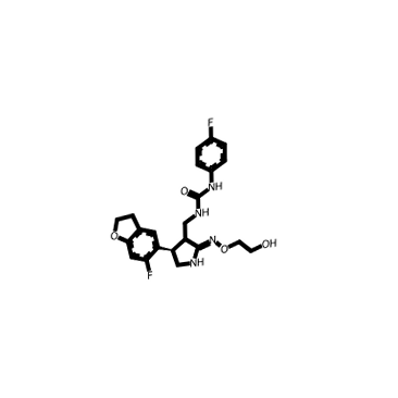 O=C(NCC1/C(=N/OCCO)NC[C@H]1c1cc2c(cc1F)OCC2)Nc1ccc(F)cc1